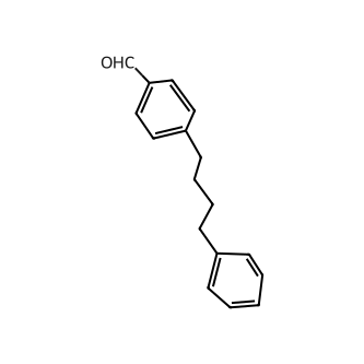 O=Cc1ccc(CCCCc2ccccc2)cc1